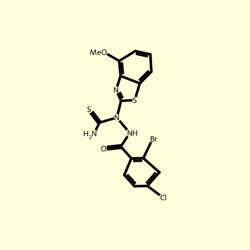 COc1cccc2sc(N(NC(=O)c3ccc(Cl)cc3Br)C(N)=S)nc12